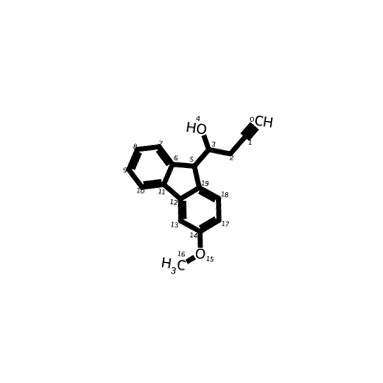 C#CCC(O)C1c2ccccc2-c2cc(OC)ccc21